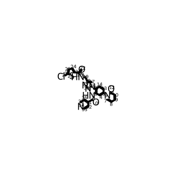 O=C(Nc1cc(-n2ccccc2=O)ccc1-n1cc(CNC(=O)c2ccc(Cl)s2)nn1)c1ccncc1